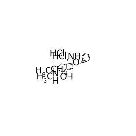 CC(C)(C)N[C@@H]1CCc2c(ccc(OCc3ccccc3)c2CN)[C@H]1O.Cl.Cl